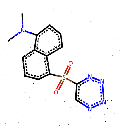 CN(C)c1cccc2c(S(=O)(=O)c3cnnnn3)cccc12